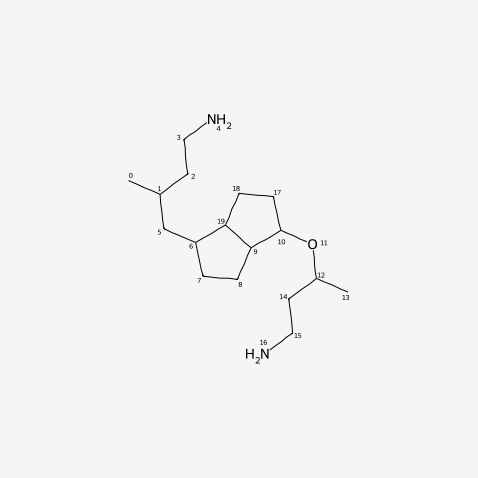 CC(CCN)CC1CCC2C(OC(C)CCN)CCC12